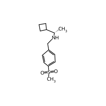 C[C@H](NCc1ccc(S(C)(=O)=O)cc1)C1CCC1